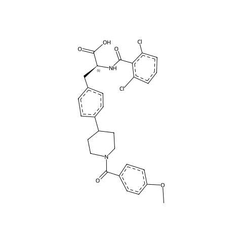 COc1ccc(C(=O)N2CCC(c3ccc(C[C@H](NC(=O)c4c(Cl)cccc4Cl)C(=O)O)cc3)CC2)cc1